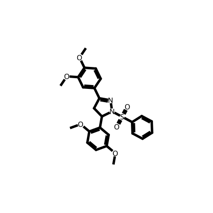 COc1ccc(OC)c(C2CC(c3ccc(OC)c(OC)c3)=NN2S(=O)(=O)c2ccccc2)c1